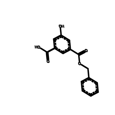 O=C(O)c1cc(O)cc(C(=O)OCc2ccccc2)c1